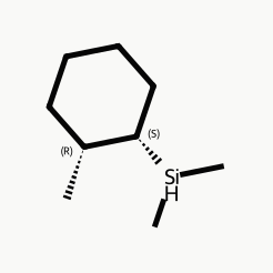 C[C@@H]1CCCC[C@@H]1[SiH](C)C